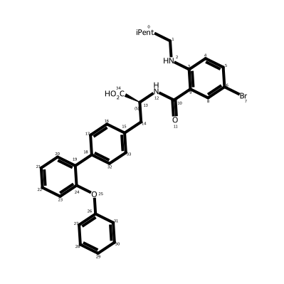 CCCC(C)CNc1ccc(Br)cc1C(=O)N[C@@H](Cc1ccc(-c2ccccc2Oc2ccccc2)cc1)C(=O)O